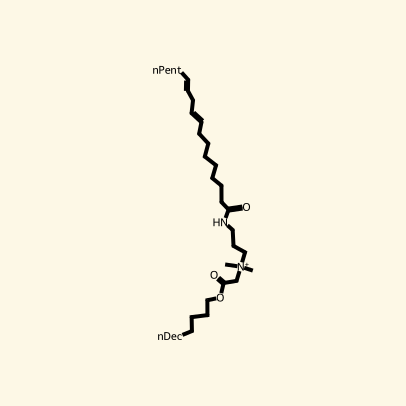 CCCCC/C=C/C/C=C/CCCCCCCC(=O)NCCC[N+](C)(C)CC(=O)OCCCCCCCCCCCCCC